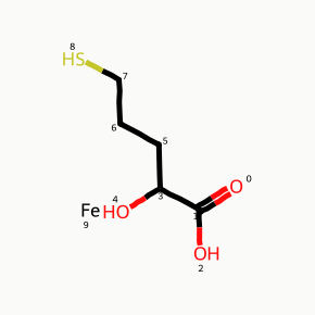 O=C(O)C(O)CCCS.[Fe]